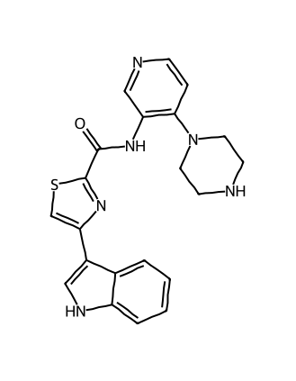 O=C(Nc1cnccc1N1CCNCC1)c1nc(-c2c[nH]c3ccccc23)cs1